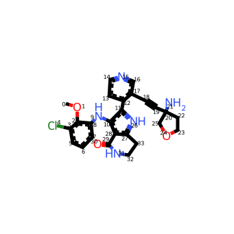 COc1c(Cl)cccc1Nc1c(-c2ccncc2C#CC2(N)CCOC2)[nH]c2c1C(=O)NCC2